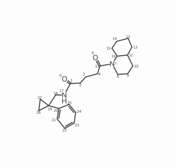 O=C(CCCC(=O)N1CCCC2CCCCC21)NCC1(c2ccccc2)CC1